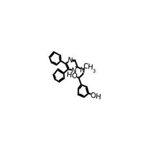 CN(CC(O)c1cccc(O)c1)c1cnc(-c2ccccc2)c(-c2ccccc2)n1